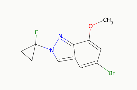 COc1cc(Br)cc2cn(C3(F)CC3)nc12